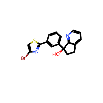 OC1(c2cccc(-c3nc(Br)cs3)c2)CCc2cccnc21